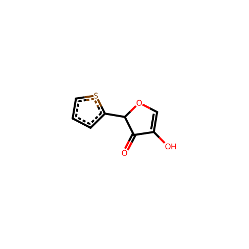 O=C1C(O)=COC1c1cccs1